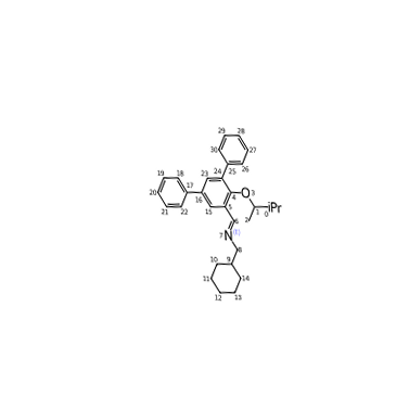 CC(C)C(C)Oc1c(/C=N/CC2CCCCC2)cc(-c2ccccc2)cc1-c1ccccc1